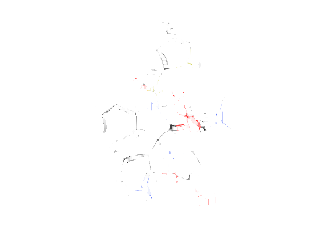 COc1ncccc1C1(N2C[C@H](O)C[C@H]2C(=O)N(C)C)C(=O)N(S(=O)(=O)c2cccs2)c2ccccc21